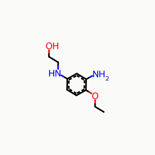 CCOc1ccc(NCCO)cc1N